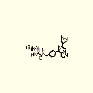 Cn1cc(-c2cn3nccc3c(-c3ccc(CNC(=O)C(=N)/N=N\NC(C)(C)C)cc3)n2)cn1